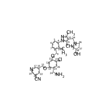 Cc1nn(-c2cccc(COc3cc(OCc4cncc(C#N)c4)c(CN)cc3Cl)c2C)c(C)c1CN1CCC(O)C1